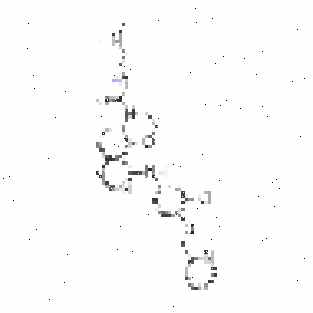 CN(C)C/C=C/C(=O)N1CCOc2c1ccc1ncnc(Nc3ccc(OCc4ccccn4)c(Cl)c3)c21